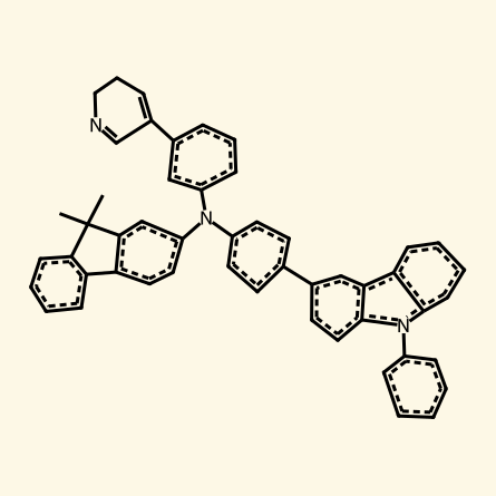 CC1(C)c2ccccc2-c2ccc(N(c3ccc(-c4ccc5c(c4)c4ccccc4n5-c4ccccc4)cc3)c3cccc(C4=CCCN=C4)c3)cc21